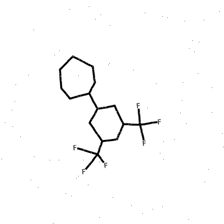 FC(F)(F)C1CC(C2CCCCCC2)CC(C(F)(F)F)C1